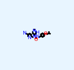 CC(C)COc1ccc(CNC(=O)N(Cc2ccc(C#N)cn2)C2CCN(C)CC2)cc1